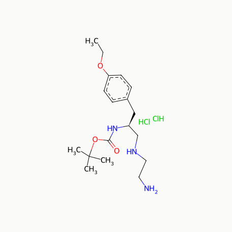 CCOc1ccc(C[C@@H](CNCCN)NC(=O)OC(C)(C)C)cc1.Cl.Cl